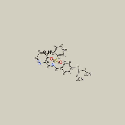 N#CCC(CC#N)Cc1ccc(CN(Cc2ccccn2)S(=O)(=O)c2ccccc2[N+](=O)[O-])cc1